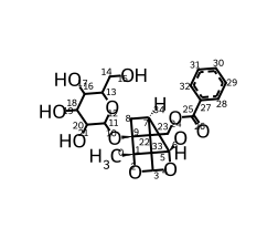 C[C@@]12OC3O[C@@]4(O)[C@@H]5C[C@]1(OC1OC(CO)C(O)C(O)C1O)C5(COC(=O)c1ccccc1)C342